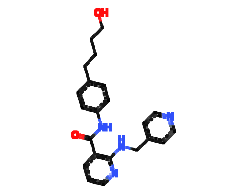 O=C(Nc1ccc(CCCCO)cc1)c1cccnc1NCc1ccncc1